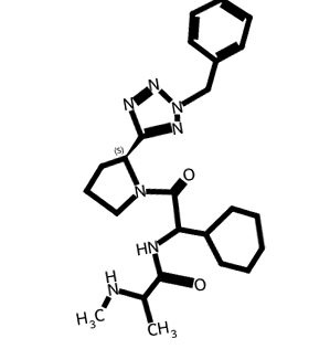 CNC(C)C(=O)NC(C(=O)N1CCC[C@H]1c1nnn(Cc2ccccc2)n1)C1CCCCC1